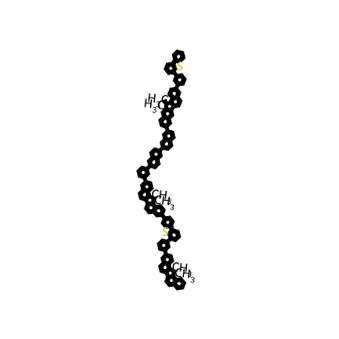 CC1(C)c2cc3ccc(-c4ccc5ccc(-c6ccc7cc(-c8cccc(-c9ccc%10c%11c(ccc%10c9)-c9ccc%10cc(-c%12ccc%13c(c%12)sc%12c(-c%14cccc(-c%15ccc%16c%17c(ccc%16c%15)-c%15ccc%16ccccc%16c%15C%17(C)C)c%14)cccc%12%13)ccc%10c9C%11(C)C)c8)ccc7c6)cc5c4)cc3cc2-c2ccc3cc(-c4cccc(-c5cccc6c5sc5ccccc56)c4)ccc3c21